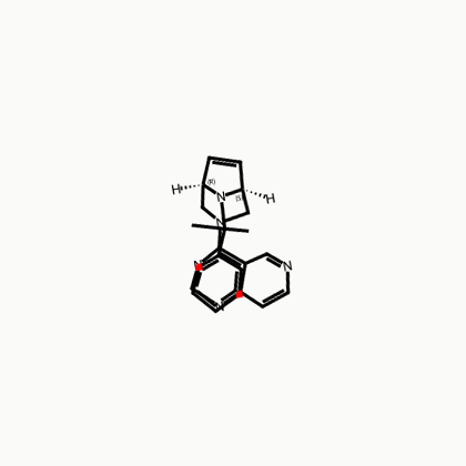 CC(C)(c1ccccc1)N1[C@@H]2C=C[C@H]1CN(c1ncnc3ccncc13)C2